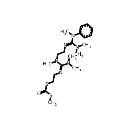 CSC(=O)SCC/N=C(/N(C)C)N(C)CC/N=C(\N(C)C)N(C)c1ccccc1